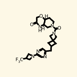 O=C1CO[C@H]2CCN(C(=O)N3CC4(CC(Cc5cnc(N6CC(C(F)(F)F)C6)cn5)C4)C3)C[C@H]2N1